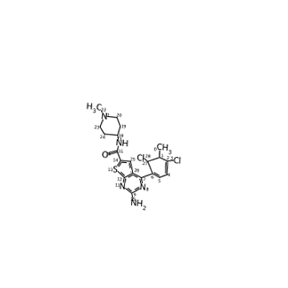 CC1C(Cl)=CC=C(c2nc(N)nc3sc(C(=O)NC4CCN(C)CC4)cc23)C1Cl